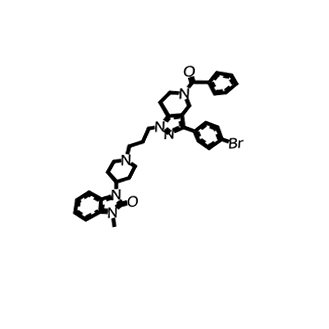 Cn1c(=O)n(C2CCN(CCCn3nc(-c4ccc(Br)cc4)c4c3CCN(C(=O)c3ccccc3)C4)CC2)c2ccccc21